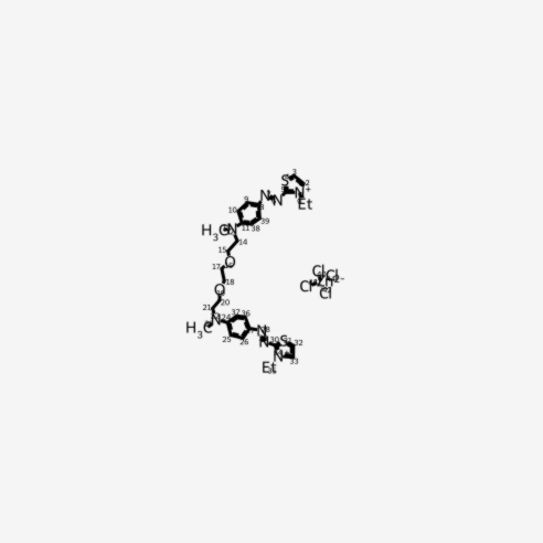 CC[n+]1ccsc1N=Nc1ccc(N(C)CCOCCOCCN(C)c2ccc(N=Nc3scc[n+]3CC)cc2)cc1.[Cl][Zn-2]([Cl])([Cl])[Cl]